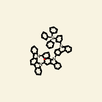 c1ccc(-n2c3ccccc3c3ccc4c5ccccc5n(-c5ccc6c(c5)c5ccccc5n6-c5ccc6c(c5)c5ccccc5n6-c5cccc([Si](c6ccccc6)(c6ccccc6)c6ccccc6)c5)c4c32)cc1